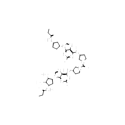 CCC(=O)N[C@@H]1CC[C@H](n2cnc3c(N[C@@H]4CCN(C(=O)N5CC[C@@H](Nc6nc(Cl)nc7c6ncn7[C@@H]6C[C@H](NC(=O)CC)[C@@H](O)[C@H]6O)C5)C4)nc(Cl)nc32)C1